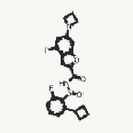 O=C(N[S+]([O-])c1c(F)cccc1C1CCC1)c1cc2c(F)cc(N3CCC3)cc2o1